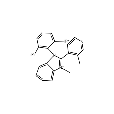 Cc1cnccc1-c1n(-c2c(C(C)C)cccc2C(C)C)c2ccccc2[n+]1C